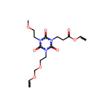 C=COCOCCn1c(=O)n(CCOC)c(=O)n(CCC(=O)OC=C)c1=O